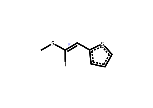 CS/C(I)=C/c1cccs1